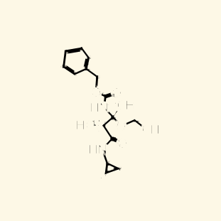 CCO[C@@](C)(NC(=O)OCc1ccccc1)[C@@H](O)C(=O)NC1CC1